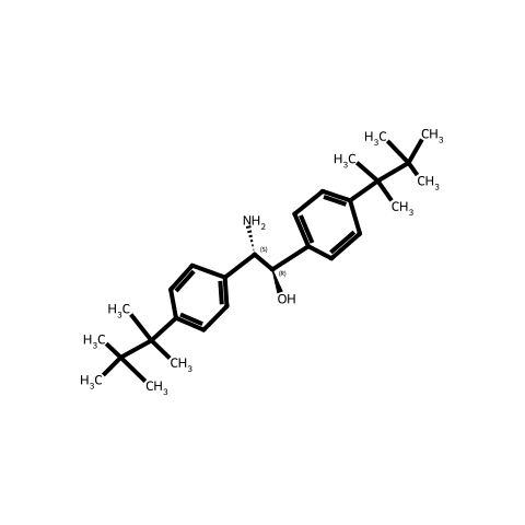 CC(C)(C)C(C)(C)c1ccc([C@@H](O)[C@@H](N)c2ccc(C(C)(C)C(C)(C)C)cc2)cc1